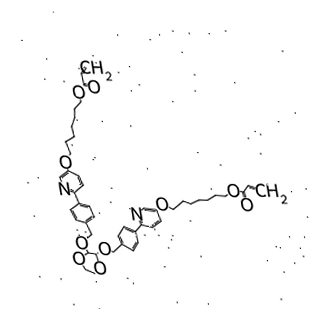 C=CC(=O)OCCCCCCCOc1ccc(-c2ccc(CO[C@@H]3OCCO[C@H]3OCc3ccc(-c4ccc(OCCCCCCCOC(=O)C=C)cn4)cc3)cc2)nc1